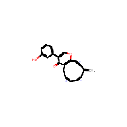 C=C1/C=C\C=C/Cc2c(occ(-c3cccc(O)c3)c2=O)/C=C\1